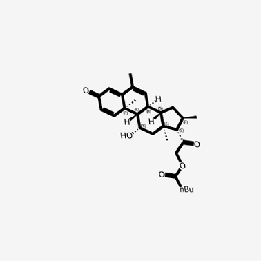 CCCCC(=O)OCC(=O)[C@H]1[C@H](C)C[C@H]2[C@@H]3C=C(C)C4=CC(=O)C=C[C@]4(C)[C@H]3[C@@H](O)C[C@@]21C